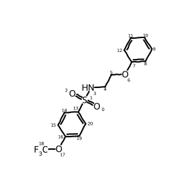 O=S(=O)(NCCOc1ccccc1)c1ccc(OC(F)(F)F)cc1